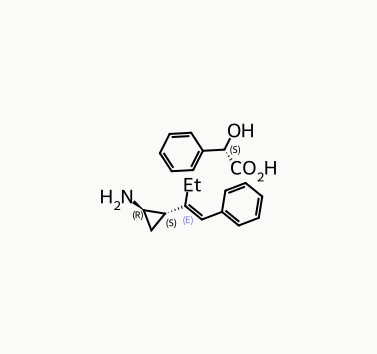 CC/C(=C\c1ccccc1)[C@@H]1C[C@H]1N.O=C(O)[C@@H](O)c1ccccc1